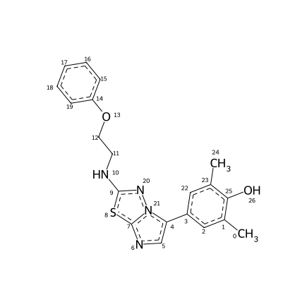 Cc1cc(-c2cnc3sc(NCCOc4ccccc4)nn23)cc(C)c1O